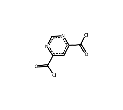 O=C(Cl)c1cc(C(=O)Cl)ncn1